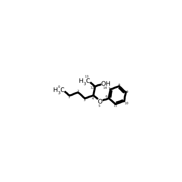 CCCCC(Oc1ccccc1)C(C)O